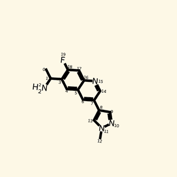 CC(N)c1cc2cc(-c3cnn(C)c3)cnc2cc1F